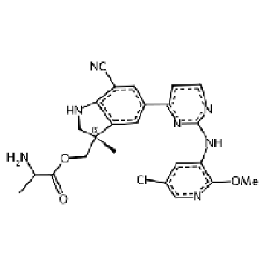 COc1ncc(Cl)cc1Nc1nccc(-c2cc(C#N)c3c(c2)[C@](C)(COC(=O)C(C)N)CN3)n1